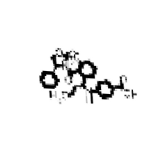 CCC[C@H](Nc1ccc(C(=O)O)cc1)c1cccc(C)c1C(=O)N1C(=O)OC[C@@H]1c1ccccc1